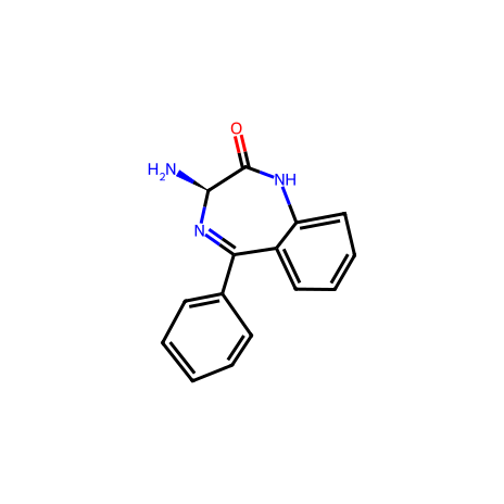 N[C@@H]1N=C(c2ccccc2)c2ccccc2NC1=O